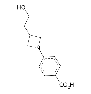 O=C(O)c1ccc(N2CC(CCO)C2)cc1